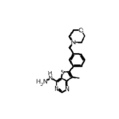 Cc1c(-c2cccc(CN3CCOCC3)c2)sc2c(NN)ncnc12